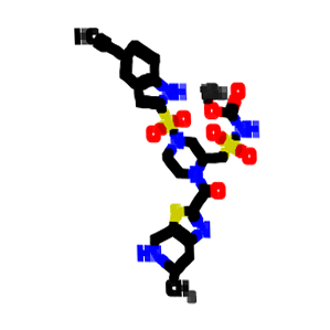 C#Cc1ccc2[nH]c(S(=O)(=O)N3CCN(C(=O)c4nc5c(s4)CNC(C)C5)C(CS(=O)(=O)NC(=O)OC(C)(C)C)C3)cc2c1